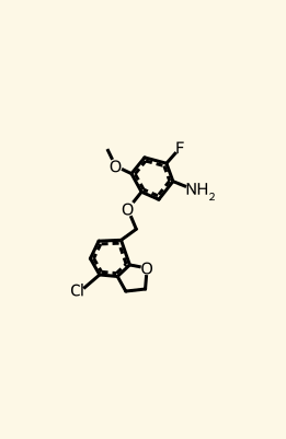 COc1cc(F)c(N)cc1OCc1ccc(Cl)c2c1OCC2